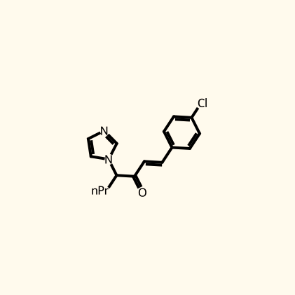 CCCC(C(=O)C=Cc1ccc(Cl)cc1)n1ccnc1